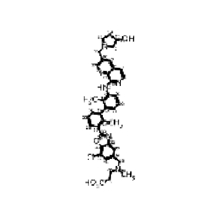 Cc1c(Nc2nccc3cc(CN4CCC(O)C4)cnc23)cccc1-c1cccc(-c2nc3cc(CN(C)CCC(=O)O)cc(Cl)c3o2)c1C